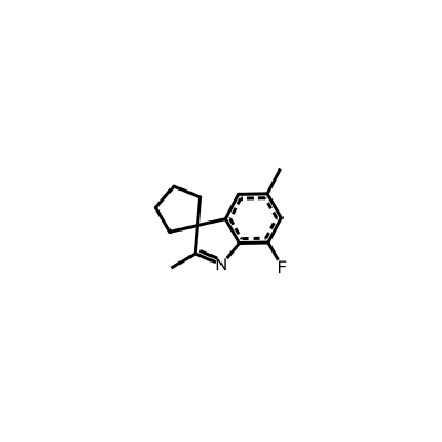 CC1=Nc2c(F)cc(C)cc2C12CCCC2